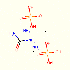 N.N.NC(N)=O.O=P(O)(O)O.O=P(O)(O)O